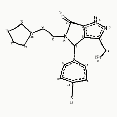 CC(C)Cc1n[nH]c2c1C(c1ccc(F)cc1)N(CCN1CCCC1)C2=O